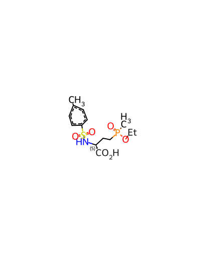 CCOP(C)(=O)CC[C@H](NS(=O)(=O)c1ccc(C)cc1)C(=O)O